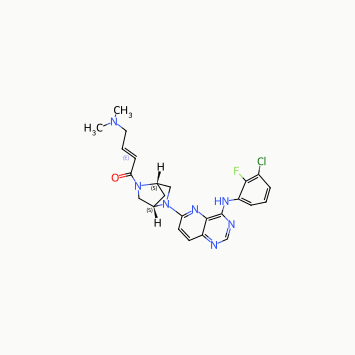 CN(C)C/C=C/C(=O)N1C[C@@H]2C[C@H]1CN2c1ccc2ncnc(Nc3cccc(Cl)c3F)c2n1